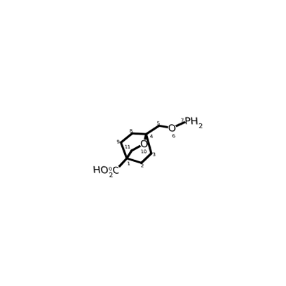 O=C(O)C12CCC(COP)(CC1)OC2